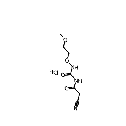 COCCONC(=O)NC(=O)CC#N.Cl